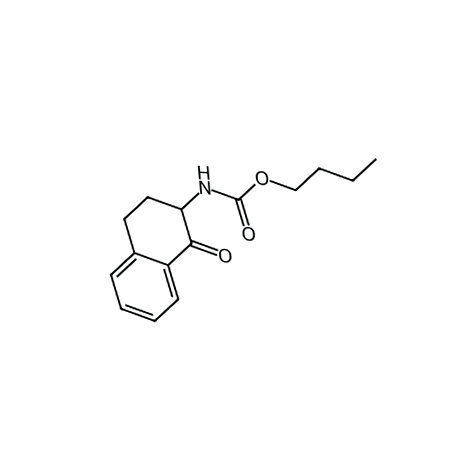 CCCCOC(=O)NC1CCc2ccccc2C1=O